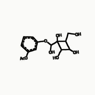 CC(=O)Oc1cccc(OC(O)C2(O)C(O)C(O)C2CO)c1